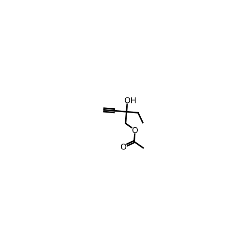 C#CC(O)(CC)COC(C)=O